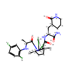 C[C@H](Nc1cc(F)ccc1F)C(=O)N1[C@H]2CC[C@@H]([C@@H]1C(=O)N[C@@H](C[C@@H]1CCCNC1=O)C(N)=O)C(F)(F)C2